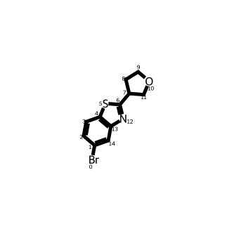 Brc1ccc2sc(C3CCOC3)nc2c1